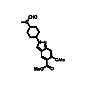 COC(=O)c1cc2cn(C3CCC(N(C)C=O)CC3)nc2cc1OC